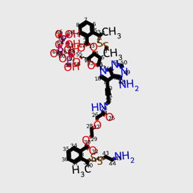 CSSC(C)c1ccccc1C(=O)OC1C[C@H](n2cc(C#CCNC(=O)COCCOC(=O)c3ccccc3C(C)SSCCN)c3c(N)ncnc32)O[C@@H]1COP(=O)(O)OP(=O)(O)OP(=O)(O)O